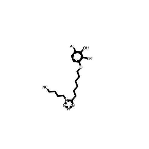 CCCc1c(OCCCCCCc2nnnn2CCCCC#N)ccc(C(C)=O)c1O